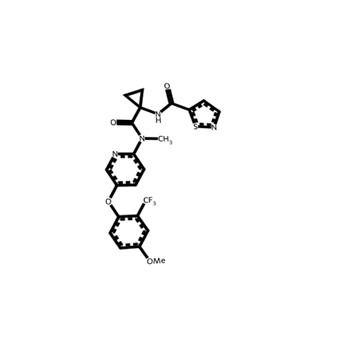 COc1ccc(Oc2ccc(N(C)C(=O)C3(NC(=O)c4ccns4)CC3)nc2)c(C(F)(F)F)c1